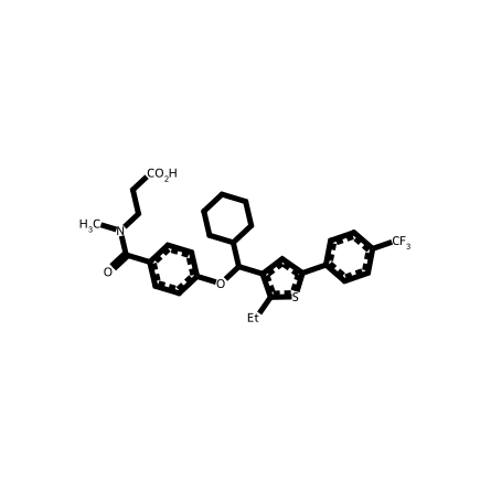 CCc1sc(-c2ccc(C(F)(F)F)cc2)cc1C(Oc1ccc(C(=O)N(C)CCC(=O)O)cc1)C1CCCCC1